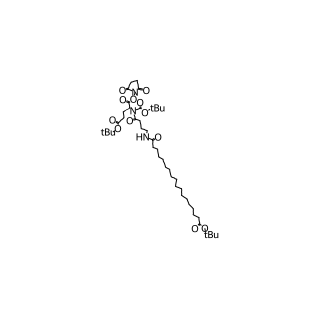 CC(C)(C)OC(=O)CCCCCCCCCCCCCCCCC(=O)NCCCC(=O)N(C(=O)OC(C)(C)C)[C@@H](CCC(=O)OC(C)(C)C)C(=O)ON1C(=O)CCC1=O